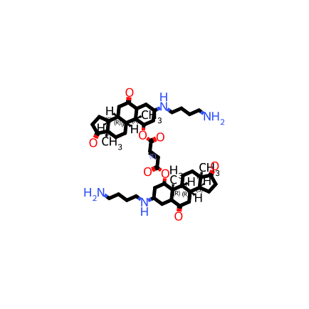 C[C@]12C(OC(=O)/C=C/C(=O)OC3CC(NCCCCN)CC4C(=O)C[C@@H]5[C@@H](CC[C@]6(C)C(=O)CC[C@@H]56)[C@@]34C)CC(NCCCCN)CC1C(=O)C[C@@H]1[C@H]2CC[C@]2(C)C(=O)CC[C@@H]12